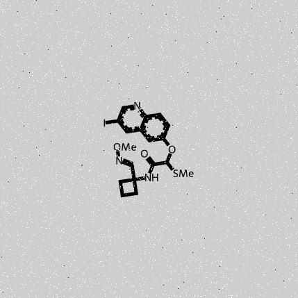 CON=CC1(NC(=O)C(Oc2ccc3ncc(I)cc3c2)SC)CCC1